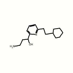 NCCC(O)c1cccc(CCC2CCCCC2)n1